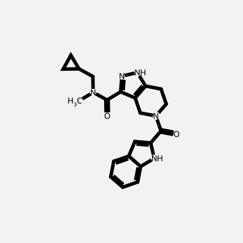 CN(CC1CC1)C(=O)c1n[nH]c2c1CN(C(=O)c1cc3ccccc3[nH]1)CC2